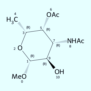 CO[C@@H]1O[C@H](C)[C@H](OC(C)=O)[C@H](NC(C)=O)[C@H]1O